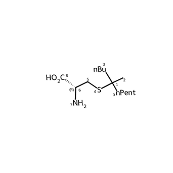 CCCCCC(C)(CCCC)SC[C@H](N)C(=O)O